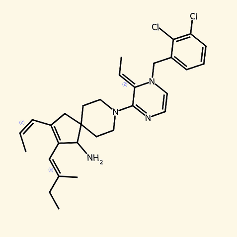 C/C=C\C1=C(/C=C(\C)CC)C(N)C2(CCN(C3=NC=CN(Cc4cccc(Cl)c4Cl)/C3=C\C)CC2)C1